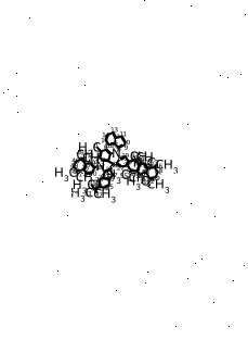 Cc1cc2c3c(c1)N(c1cccc4ccccc14)c1cc4c(cc1C3C1=C(c3cc(C(C)(C)C)ccc3C1)N2c1ccc2c(c1)C(C)(C)CCC2(C)C)C(C)(C)c1cc2c(cc1C4(C)C)C(C)(C)CCC2(C)C